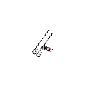 CCCCCCCCCCCCCCCC[n+]1ccccc1.CCCCCCCCCCCCCCCC[n+]1ccccc1.Cl.Cl.Cl.[Cl-].[Cl-]